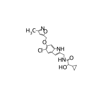 Cc1cc(COc2cc3[nH]c(CNC(=O)C(O)C4CC4)cc3cc2Cl)on1